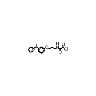 CC(c1cccc(OCCCNC(=O)C(Cl)Cl)c1)N1CCCC1